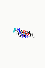 COc1ncc2cnn(C)c2c1N(C)S(=O)(=O)c1ccc(-n2cc(C(F)(F)F)cn2)nc1